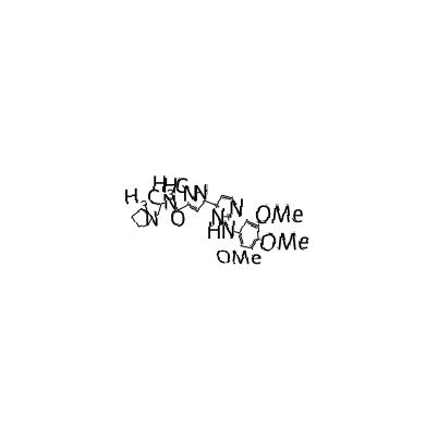 COc1cc(Nc2nccc(-c3cc(C(=O)NC(C)CN4CCCC4)n(C)n3)n2)cc(OC)c1OC